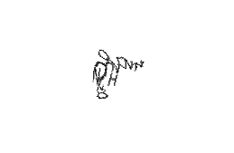 C=NCN1CC[C@@H](NC(=O)c2ccnc(N3Cc4ccccc4C3)c2)C1